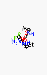 CCc1cccc(CNCC(OC(=O)CCCC(=O)Nc2cccc(C(C)=O)c2)C(N)Cc2cc(F)cc(F)c2)c1